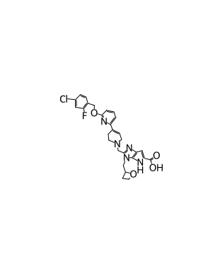 O=C(O)c1cc2nc(CN3CC=C(c4cccc(OCc5ccc(Cl)cc5F)n4)CC3)n(CC3CCO3)c2[nH]1